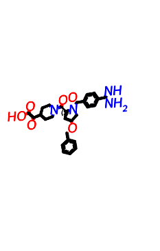 N=C(N)c1ccc(C(=O)N2CC(OCc3ccccc3)C[C@H]2C(=O)N2CCC(C(=O)C(=O)O)CC2)cc1